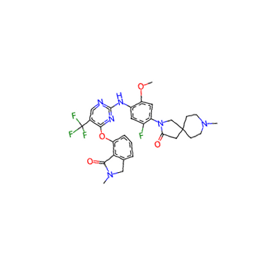 COc1cc(N2CC3(CCN(C)CC3)CC2=O)c(F)cc1Nc1ncc(C(F)(F)F)c(Oc2cccc3c2C(=O)N(C)C3)n1